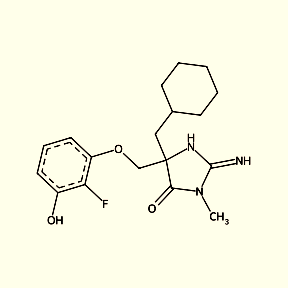 CN1C(=N)NC(COc2cccc(O)c2F)(CC2CCCCC2)C1=O